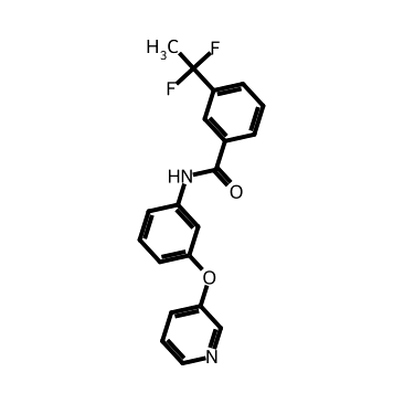 CC(F)(F)c1cccc(C(=O)Nc2cccc(Oc3cccnc3)c2)c1